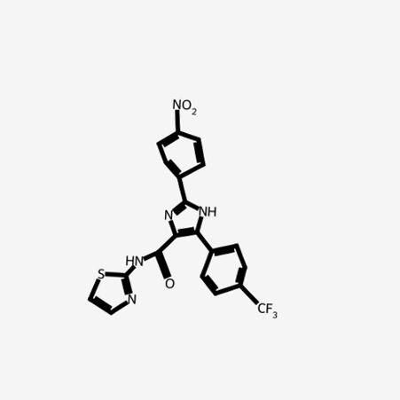 O=C(Nc1nccs1)c1nc(-c2ccc([N+](=O)[O-])cc2)[nH]c1-c1ccc(C(F)(F)F)cc1